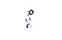 O=c1cc(N2CCN(Cc3c(Cl)ccc(Cl)c3Cl)CC2)nc[nH]1